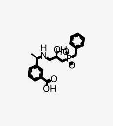 C[C@@H](NC[C@@H](O)CP(=O)(O)Cc1ccccc1)c1cccc(C(=O)O)c1